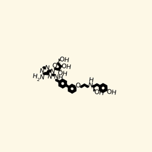 Nc1ncnc2c1nc(NCc1ccc(-c3cccc(OCCCN[C@H](CO)Cc4ccc(O)cc4)c3)cc1)n2[C@@H]1O[C@H](CO)[C@@H](O)[C@H]1O